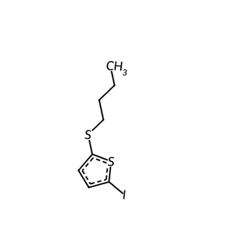 CCCCSc1ccc(I)s1